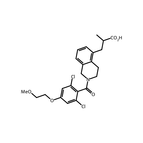 COCCOc1cc(Cl)c(C(=O)N2CCc3c(CC(C)C(=O)O)cccc3C2)c(Cl)c1